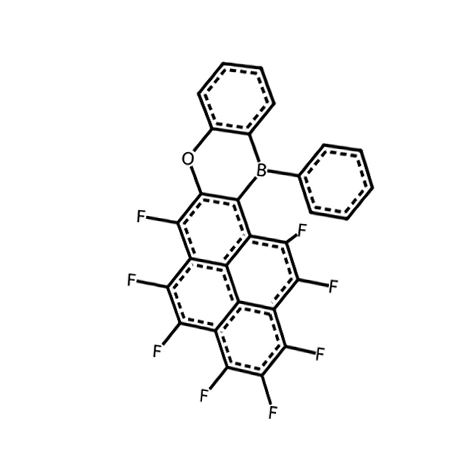 Fc1c(F)c2c(F)c(F)c3c(F)c4c(c5c(F)c(F)c(c1F)c2c35)B(c1ccccc1)c1ccccc1O4